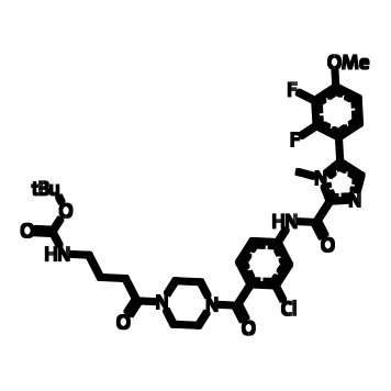 COc1ccc(-c2cnc(C(=O)Nc3ccc(C(=O)N4CCN(C(=O)CCCNC(=O)OC(C)(C)C)CC4)c(Cl)c3)n2C)c(F)c1F